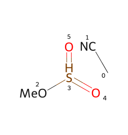 CC#N.CO[SH](=O)=O